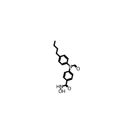 CCCCc1ccc(N(C=O)c2ccc(C(=O)NO)cc2)cc1